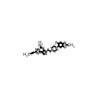 CC#Cc1nc2c3cnn(CCN4CCN(c5cc6oc(C)nc6cc5F)CC4)c3nc(N)n2n1